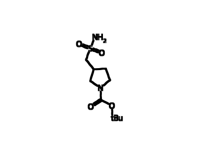 CC(C)(C)OC(=O)N1CCC(CS(N)(=O)=O)C1